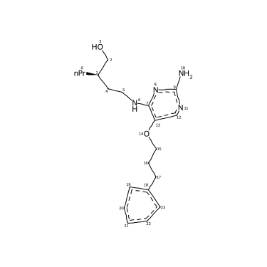 CCC[C@@H](CO)CCNc1nc(N)ncc1OCCCc1ccccc1